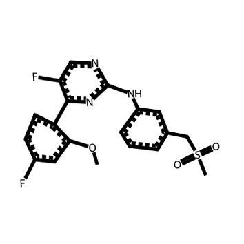 COc1cc(F)ccc1-c1nc(Nc2cccc(CS(C)(=O)=O)c2)ncc1F